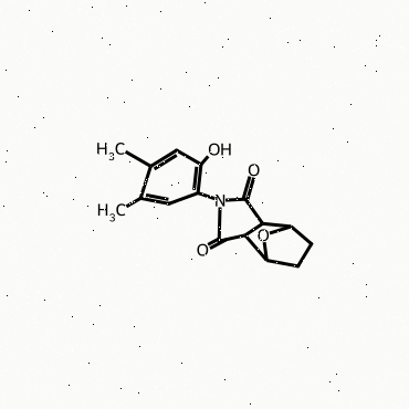 Cc1cc(O)c(N2C(=O)C3C4CCC(O4)C3C2=O)cc1C